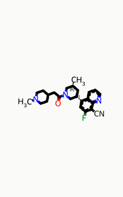 C[C@@H]1C[C@H](c2cc(F)c(C#N)c3ncccc23)CN(C(=O)CC2CCN(C)CC2)C1